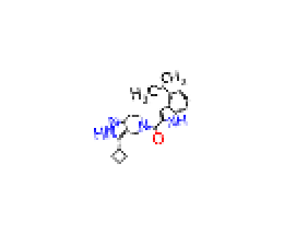 CC(C)c1cccc2[nH]c(C(=O)N3CCc4n[nH]c(C5CCC5)c4C3)cc12